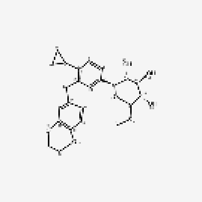 CSC1O[C@@H](c2ccc(C3CC3)c(Cc3ccc4c(c3)OCCO4)c2)[C@H](O)[C@@H](O)[C@@H]1O